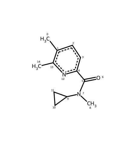 Cc1ccc(C(=O)N(C)C2CC2)nc1C